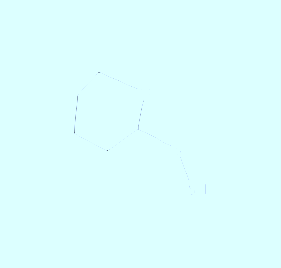 SSC1CCCCO1